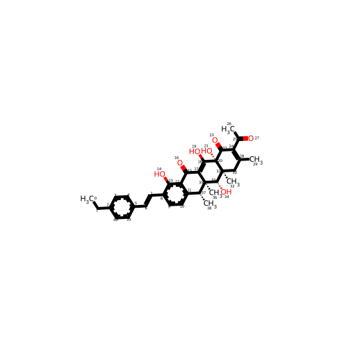 CCc1ccc(/C=C/c2ccc3c(c2O)C(=O)C2=C(O)[C@@]4(O)C(=O)C(C(C)=O)=C(C)C[C@@]4(C)[C@H](O)[C@@]2(C)[C@@H]3C)cc1